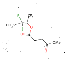 COC(=O)CCC(=O)OC(C(F)(F)F)C(F)(F)S(=O)(=O)O